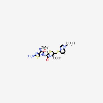 CO/N=C(\C(=O)N[C@@H]1C(=O)N2C(C(=O)[O-])=C(CSc3cccc4n(CC(=O)O)cc[n+]34)CS[C@H]12)c1csc(N)n1